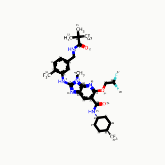 Cn1c(Nc2cc(CNC(=O)C(C)(C)C(F)(F)F)ccc2C(F)(F)F)nc2cc(C(=O)N[C@H]3CC[C@H](C(F)(F)F)CC3)c(OCC(F)F)nc21